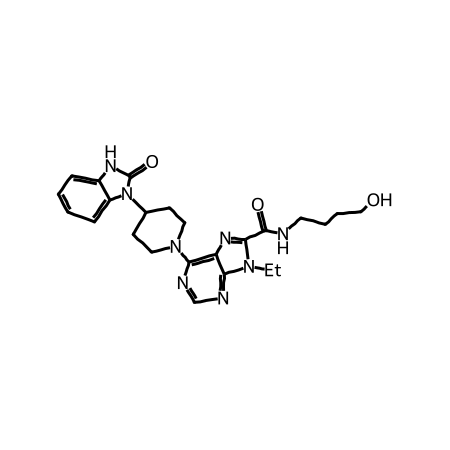 CCn1c(C(=O)NCCCCO)nc2c(N3CCC(n4c(=O)[nH]c5ccccc54)CC3)ncnc21